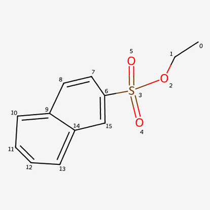 CCOS(=O)(=O)c1ccc2ccccc2c1